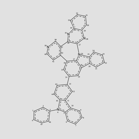 c1ccc(-n2c3ccccc3c3cc(-c4cc5c6c(c4)c4ccccc4n6-c4nc6ccccc6nc4-c4cnccc4-5)ccc32)cc1